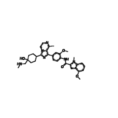 CNCC1(O)CCC(c2nc(-c3ccc(NC(=O)c4cc5c(OC)cccc5n4C)c(OC)c3)c3c(C)nccn23)CC1